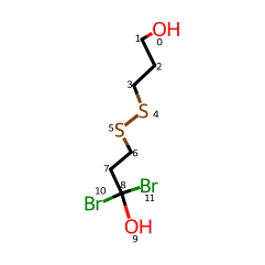 OCCCSSCCC(O)(Br)Br